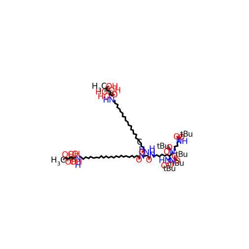 CCCCN(C(=O)OC(C)(C)C)C(NC(=O)OC(C)(C)C)C(CCCCCCNC(=O)C(CNC(=O)CCCCCCCCCCCCCCCCCCCCCCCNC(=O)[C@H](O)[C@@H](O)[C@H](O)[C@@H](C)O)NC(=O)CCCCCCCCCCCCCCCCCCCCCCCNC(=O)[C@H](O)[C@@H](O)[C@H](O)[C@@H](C)O)CN(CCCCNC(=O)OC(C)(C)C)C(=O)OC(C)(C)C